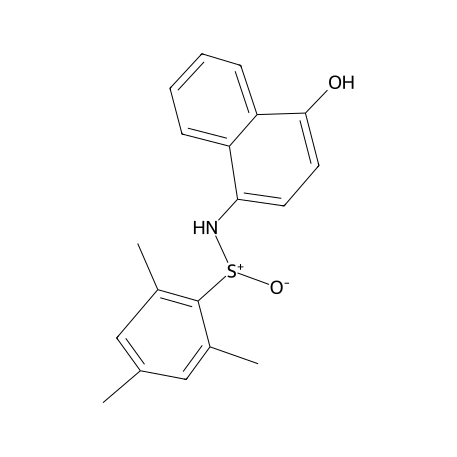 Cc1cc(C)c([S+]([O-])Nc2ccc(O)c3ccccc23)c(C)c1